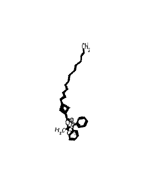 CCCCCCCCCCCC=CC12CC(CO[Si](c3ccccc3)(c3ccccc3)C(C)(C)C)(C1)C2